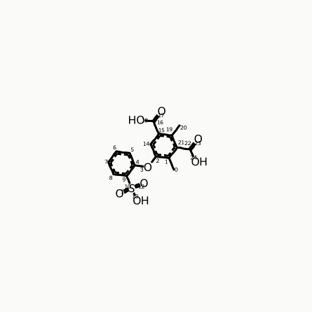 Cc1c(Oc2ccccc2S(=O)(=O)O)cc(C(=O)O)c(C)c1C(=O)O